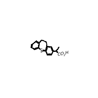 CC(C(=O)O)c1ccc2c(c1)CCc1ccccc1S2